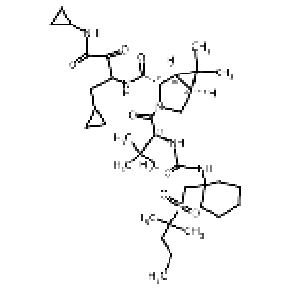 CCCC(C)(C)S(=O)(=O)CC1(NC(=O)N[C@H](C(=O)N2C[C@H]3[C@@H]([C@H]2C(=O)NC(CC2CC2)C(=O)C(=O)NC2CC2)C3(C)C)C(C)(C)C)CCCCC1